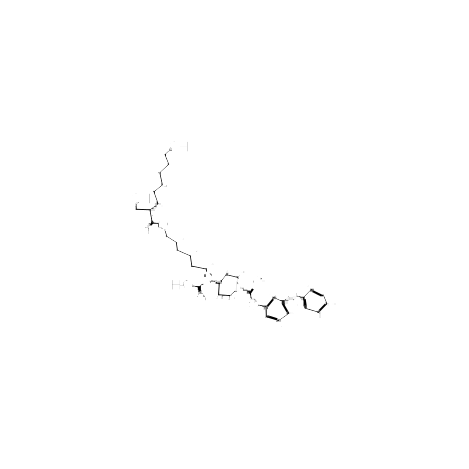 CCCCCCCC(CC)C(=O)OCCCCCCN(C(=O)O)C1CCN(C(=O)Oc2cccc(Oc3ccccc3)c2)CC1